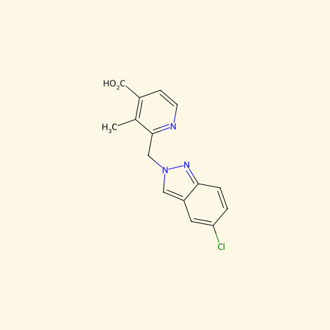 Cc1c(C(=O)O)ccnc1Cn1cc2cc(Cl)ccc2n1